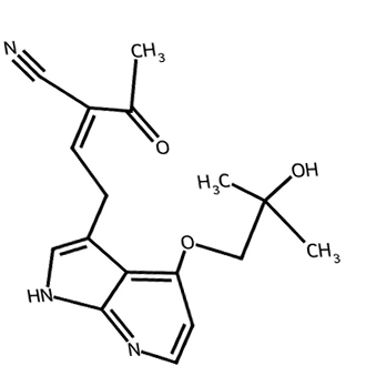 CC(=O)C(C#N)=CCc1c[nH]c2nccc(OCC(C)(C)O)c12